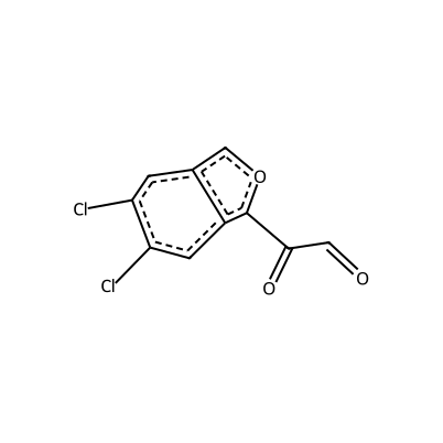 O=CC(=O)c1occ2cc(Cl)c(Cl)cc12